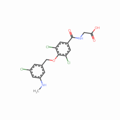 CNc1cc(Cl)cc(COc2c(Cl)cc(C(=O)NCC(=O)O)cc2Cl)c1